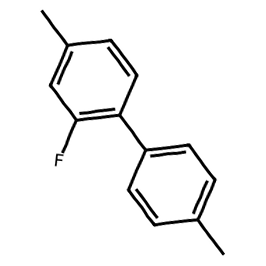 Cc1ccc(-c2ccc(C)cc2F)cc1